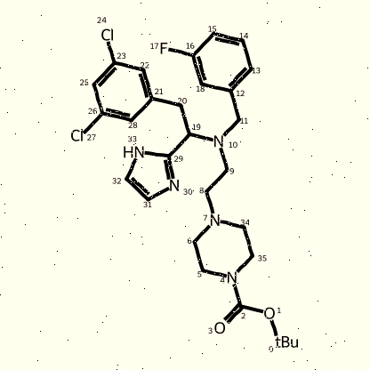 CC(C)(C)OC(=O)N1CCN(CCN(Cc2cccc(F)c2)C(Cc2cc(Cl)cc(Cl)c2)c2ncc[nH]2)CC1